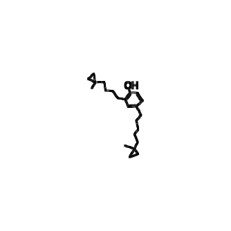 CC1(CCCCCc2ccc(O)c(CCCCC3(C)CC3)c2)CC1